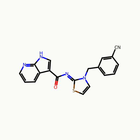 N#Cc1cccc(Cn2ccsc2=NC(=O)c2c[nH]c3ncccc23)c1